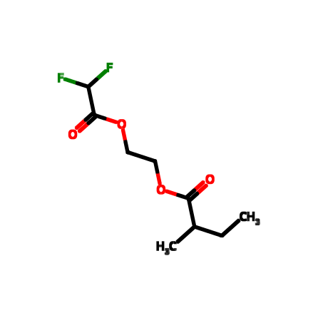 CCC(C)C(=O)OCCOC(=O)C(F)F